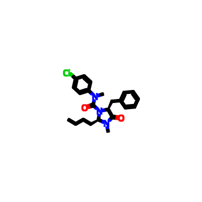 CCCC[C@@H]1N(C)C(=O)[C@H](Cc2ccccc2)N1C(=O)N(C)c1ccc(Cl)cc1